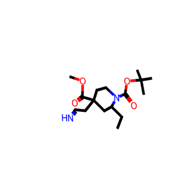 CCC1CC(CC=N)(C(=O)OC)CCN1C(=O)OC(C)(C)C